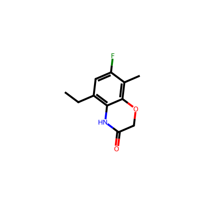 CCc1cc(F)c(C)c2c1NC(=O)CO2